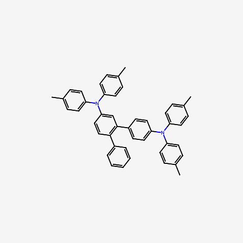 Cc1ccc(N(c2ccc(C)cc2)c2ccc(-c3cc(N(c4ccc(C)cc4)c4ccc(C)cc4)ccc3-c3ccccc3)cc2)cc1